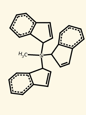 C[Si](C1C=Cc2ccccc21)(C1C=Cc2ccccc21)C1C=Cc2ccccc21